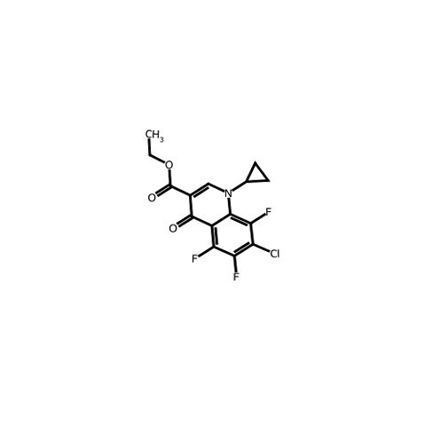 CCOC(=O)c1cn(C2CC2)c2c(F)c(Cl)c(F)c(F)c2c1=O